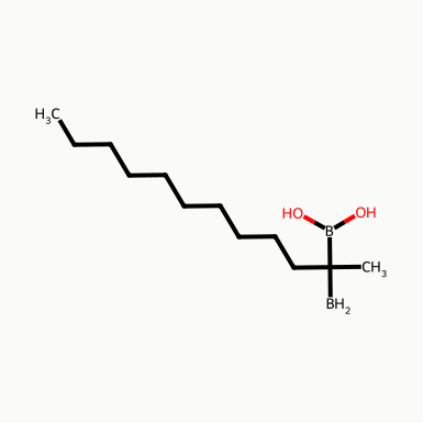 BC(C)(CCCCCCCCCC)B(O)O